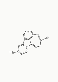 CCC1=Cc2cccc3c2C(=CC1)c1ccc(N)cc1-3